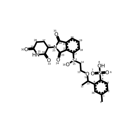 Cc1ccc(S(=O)(=O)O)c(C(C)OCC[S+]([O-])c2cccc3c2C(=O)N(C2CCC(=O)NC2=O)C3=O)c1